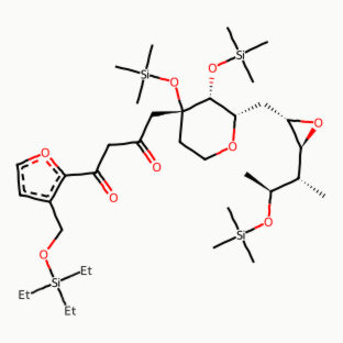 CC[Si](CC)(CC)OCc1ccoc1C(=O)CC(=O)C[C@]1(O[Si](C)(C)C)CCO[C@@H](C[C@@H]2O[C@H]2[C@H](C)[C@H](C)O[Si](C)(C)C)[C@H]1O[Si](C)(C)C